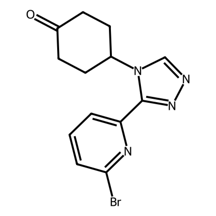 O=C1CCC(n2cnnc2-c2cccc(Br)n2)CC1